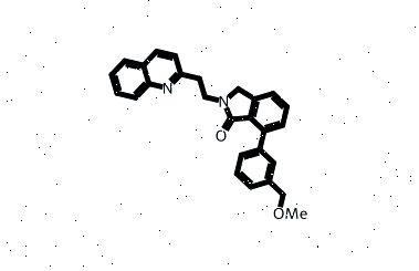 COCc1cccc(-c2cccc3c2C(=O)N(CCc2ccc4ccccc4n2)C3)c1